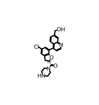 O=C([C@@H]1Cc2cc(Cl)cc(-c3ccnc4cc(CO)ccc34)c2O1)N1CCNCC1